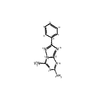 Nc1nc(N)n2nc(-c3ccccc3)nc2n1